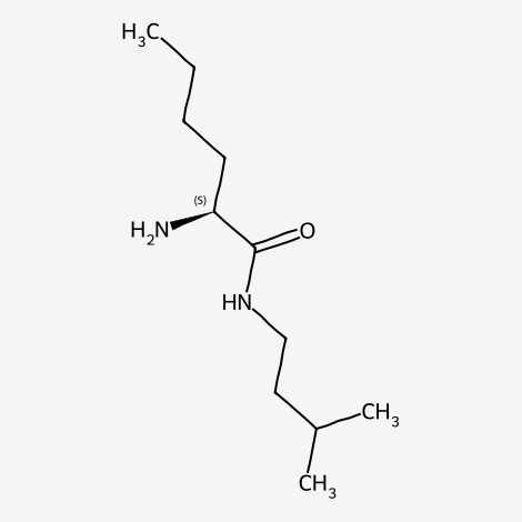 CCCC[C@H](N)C(=O)NCCC(C)C